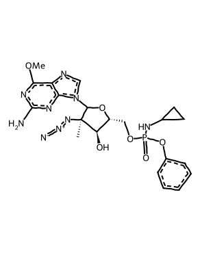 COc1nc(N)nc2c1ncn2C1O[C@H](COP(=O)(NC2CC2)Oc2ccccc2)[C@@H](O)[C@@]1(C)N=[N+]=[N-]